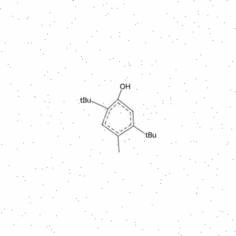 Cc1cc(C(C)(C)C)c(O)cc1C(C)(C)C